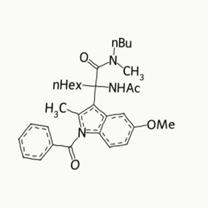 CCCCCCC(NC(C)=O)(C(=O)N(C)CCCC)c1c(C)n(C(=O)c2ccccc2)c2ccc(OC)cc12